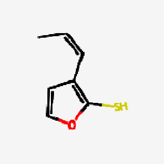 C/C=C\c1ccoc1S